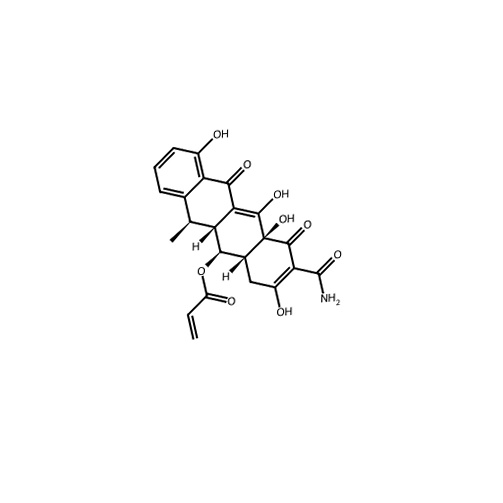 C=CC(=O)O[C@H]1[C@H]2C(=C(O)[C@]3(O)C(=O)C(C(N)=O)=C(O)C[C@H]13)C(=O)c1c(O)cccc1[C@@H]2C